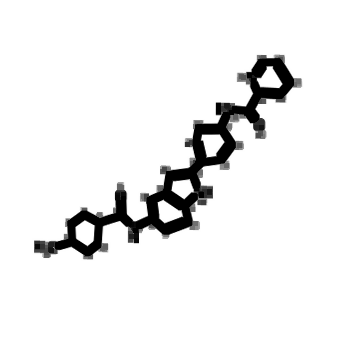 CC1CCC(C(=O)Nc2ccc3[nH]c(-c4ccc(NC(=O)c5ccccn5)cc4)cc3c2)CC1